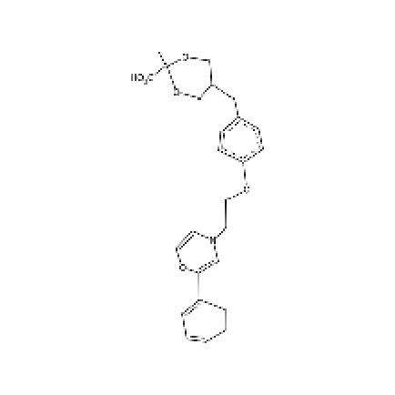 CC1(C(=O)O)OCC(Cc2ccc(OCCN3C=COC(C4=CC=CCC4)=C3)cc2)CO1